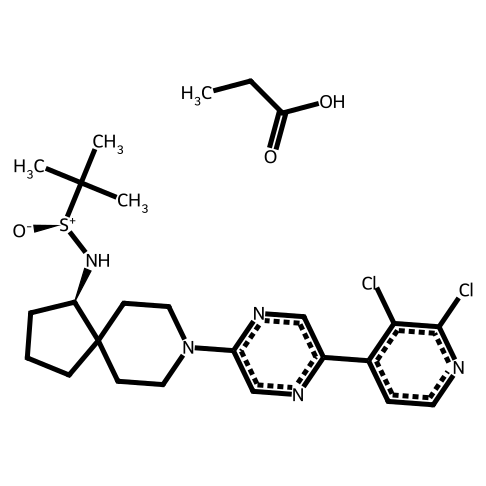 CC(C)(C)[S@+]([O-])N[C@@H]1CCCC12CCN(c1cnc(-c3ccnc(Cl)c3Cl)cn1)CC2.CCC(=O)O